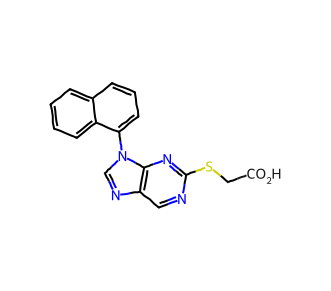 O=C(O)CSc1ncc2ncn(-c3cccc4ccccc34)c2n1